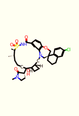 C[C@@H]1[C@@H](C)CCC[C@](O)([C@@H]2CCN(C)C2=O)[C@@H]2CC[C@H]2CN2C[C@@]3(CCCc4cc(Cl)ccc43)COc3ccc(cc32)C(=O)NS1(=O)=O